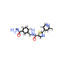 Cc1cc(-c2ncc(C(=O)NCc3cccc(C(N)=O)c3)s2)ccn1